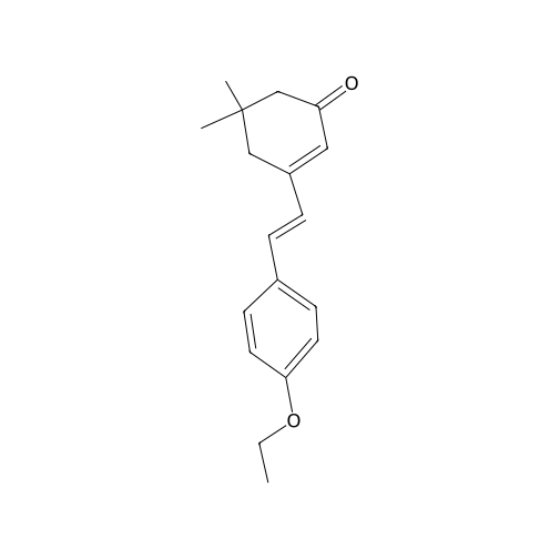 CCOc1ccc(C=CC2=CC(=O)CC(C)(C)C2)cc1